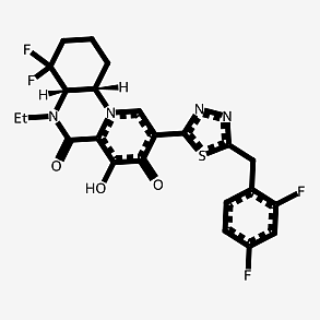 CCN1C(=O)c2c(O)c(=O)c(-c3nnc(Cc4ccc(F)cc4F)s3)cn2[C@H]2CCCC(F)(F)[C@H]21